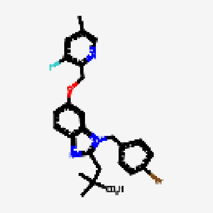 Cc1cnc(COc2ccc3nc(CC(C)(C)C(=O)O)n(Cc4ccc(Br)cc4)c3c2)c(F)c1